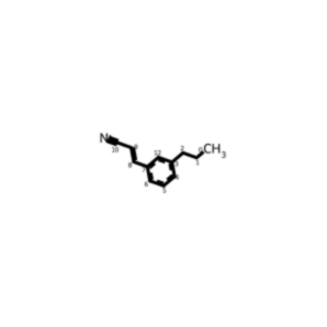 CCCc1cccc(C=CC#N)c1